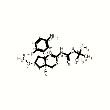 CO[C@H]1C[C@@H]2CSC(NC(=O)OC(C)(C)C)=N[C@]2(c2cc(N)ccc2F)C1